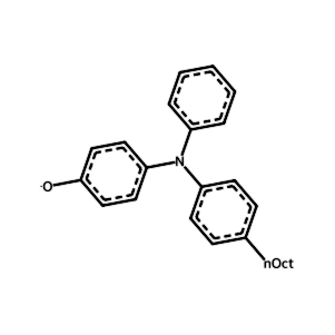 CCCCCCCCc1ccc(N(c2ccccc2)c2ccc([O])cc2)cc1